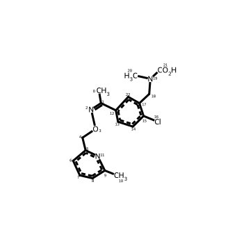 C/C(=N/OCc1cccc(C)n1)c1ccc(Cl)c(CN(C)C(=O)O)c1